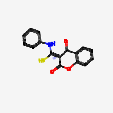 O=C1Oc2ccccc2C(=O)/C1=C(/S)Nc1ccccc1